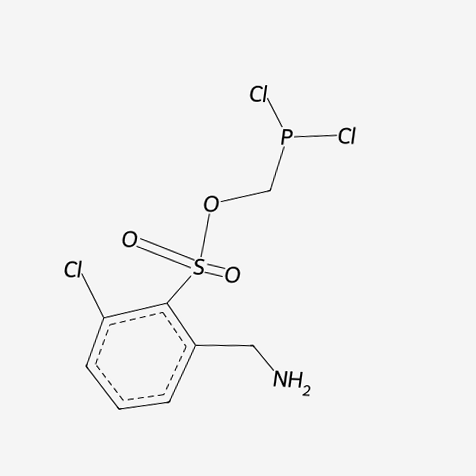 NCc1cccc(Cl)c1S(=O)(=O)OCP(Cl)Cl